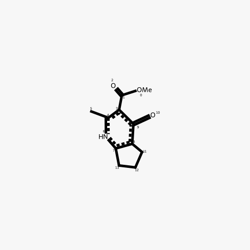 COC(=O)c1c(C)[nH]c2c(c1=O)CCC2